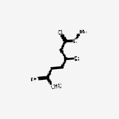 CCCC(C=O)CCC(CC)CC(=O)OC(C)(C)C